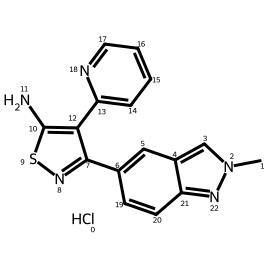 Cl.Cn1cc2cc(-c3nsc(N)c3-c3ccccn3)ccc2n1